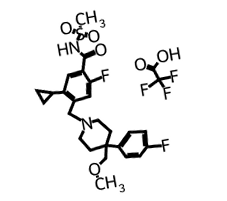 COCC1(c2ccc(F)cc2)CCN(Cc2cc(F)c(C(=O)NS(C)(=O)=O)cc2C2CC2)CC1.O=C(O)C(F)(F)F